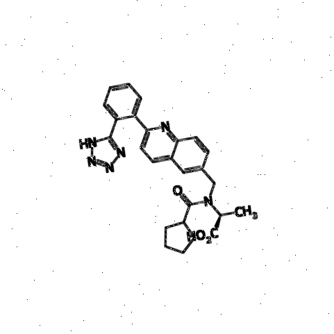 C[C@@H](C(=O)O)N(Cc1ccc2nc(-c3ccccc3-c3nnn[nH]3)ccc2c1)C(=O)C1CCCC1